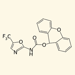 O=C(Nc1ncc(C(F)(F)F)o1)OC1c2ccccc2Oc2ccccc21